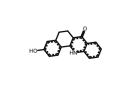 O=c1c2c([nH]c3ccccc13)-c1ccc(O)cc1CC2